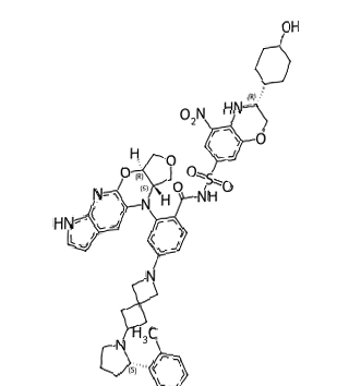 Cc1ccccc1[C@@H]1CCCN1C1CC2(C1)CN(c1ccc(C(=O)NS(=O)(=O)c3cc4c(c([N+](=O)[O-])c3)N[C@H](C3CCC(O)CC3)CO4)c(N3c4cc5cc[nH]c5nc4O[C@H]4COC[C@@H]43)c1)C2